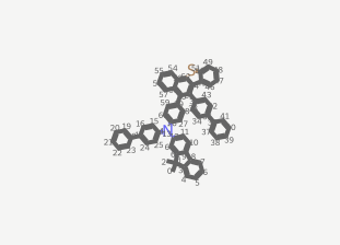 CC1(C)c2ccccc2-c2ccc(N(c3ccc(-c4ccccc4)cc3)c3ccc(-c4c(-c5ccc(-c6ccccc6)cc5)c5c6ccccc6sc5c5ccccc45)cc3)cc21